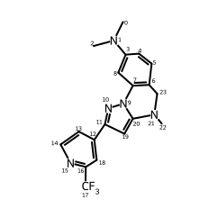 CN(C)c1ccc2c(c1)-n1nc(-c3ccnc(C(F)(F)F)c3)cc1N(C)C2